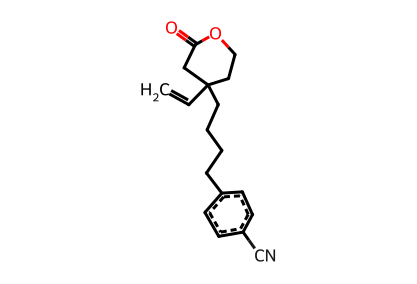 C=CC1(CCCCc2ccc(C#N)cc2)CCOC(=O)C1